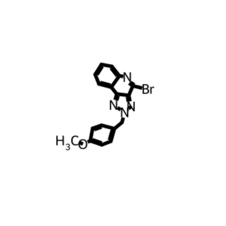 COc1ccc(Cn2nc3c(Br)nc4ccccc4c3n2)cc1